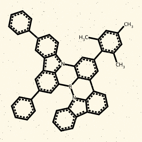 Cc1cc(C)c(-c2cc3c4c(c2)-n2c5ccc(-c6ccccc6)cc5c5cc(-c6ccccc6)cc(c52)B4n2c4ccccc4c4cccc-3c42)c(C)c1